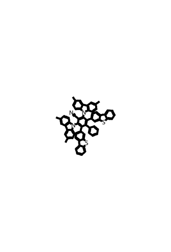 Cc1ccc2c(c1)c1cc(C)ccc1n2-c1c(C#N)c(-n2c3ccc(C)cc3c3cc(C)ccc32)c(-c2ccc3c(c2)sc2ccccc23)c(-c2ccccc2)c1-c1ccc2c(c1)sc1ccccc12